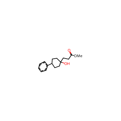 COC(=O)CCC1(O)CCC(c2ccccc2)CC1